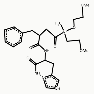 COCCO[N+](C)(CCOC)C(=O)CC(Cc1ccccc1)C(=O)NC(Cc1c[nH]cn1)C(N)=O